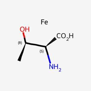 C[C@@H](O)[C@H](N)C(=O)O.[Fe]